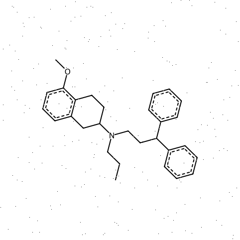 CCCN(CCC(c1ccccc1)c1ccccc1)C1CCc2c(cccc2OC)C1